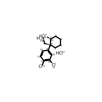 C[C@H]1CCCC[C@]1(CN)c1ccc(Cl)c(Cl)c1.Cl